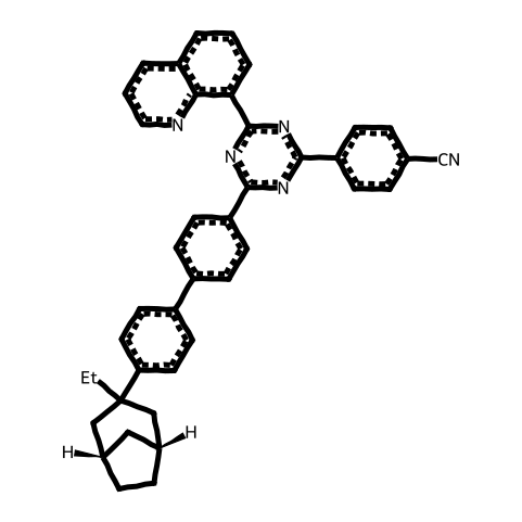 CCC1(c2ccc(-c3ccc(-c4nc(-c5ccc(C#N)cc5)nc(-c5cccc6cccnc56)n4)cc3)cc2)C[C@@H]2CC[C@@H](C2)C1